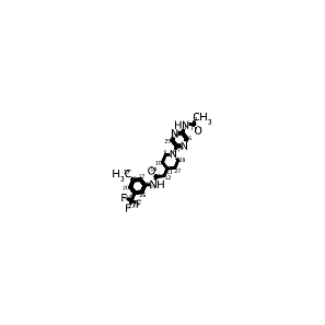 CC(=O)Nc1cnc(N2CCC(CC(=O)Nc3cc(C)cc(C(F)(F)F)c3)CC2)cn1